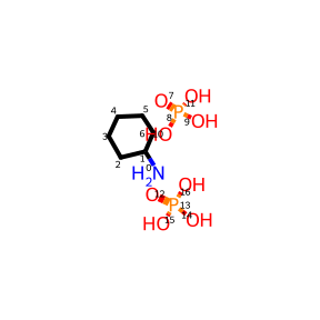 NC1CCCCC1.O=P(O)(O)O.O=P(O)(O)O